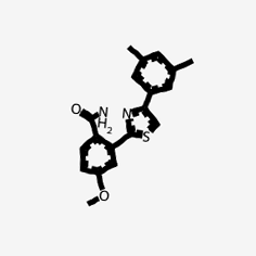 COc1ccc(C(N)=O)c(-c2nc(-c3cc(C)cc(C)c3)cs2)c1